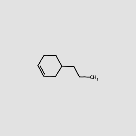 C[CH]CC1CC=CCC1